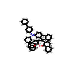 c1ccc(-c2ccc(N(c3cccc(-c4ccccc4)c3)c3ccc4c(c3)C3(c5ccccc5-4)c4ccc5ccccc5c4Oc4c3ccc3ccccc43)cc2)cc1